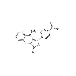 COc1ccccc1C=C1N=C(c2ccc([N+](=O)[O-])cc2)OC1=O